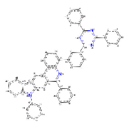 c1ccc(-c2nc(-c3ccccc3)nc(-c3cccc(-c4cccc5c4nc(-c4ccccc4)c4cc6c(cc45)c4ccccc4n6-c4ccccc4)c3)n2)cc1